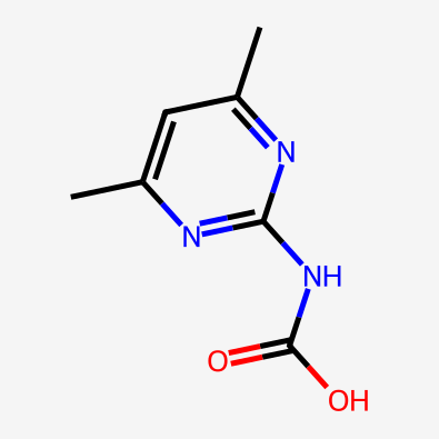 Cc1cc(C)nc(NC(=O)O)n1